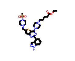 CCOC(=O)CCCCN1CCN(c2nc(-c3cccc4[nH]ncc34)nc3cc(CN4CCN(S(C)(=O)=O)CC4)sc23)CC1